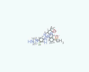 CC(=O)c1cc2cnc(Nc3ccc(N4CCNCC4)c(F)c3)nc2n(Cc2ccccc2[S+](C)[O-])c1=O